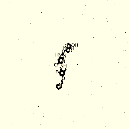 O[C@@H]1CO[C@H]2[C@@H]1OC[C@H]2Oc1nc2nc(NCc3c(F)cc(OCCN4CCCC4)cc3F)c(Cl)cc2[nH]1